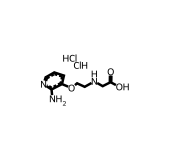 Cl.Cl.Nc1ncccc1OCCNCC(=O)O